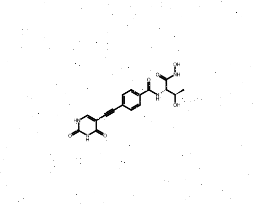 C[C@@H](O)[C@H](NC(=O)c1ccc(C#Cc2c[nH]c(=O)[nH]c2=O)cc1)C(=O)NO